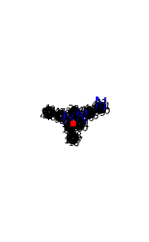 c1ccc(-c2ccc(N(c3ccc(-c4ccccc4)cc3)c3cccc4c3c3ccccc3n4-c3ccc(-c4cccnc4)cc3)cc2)cc1